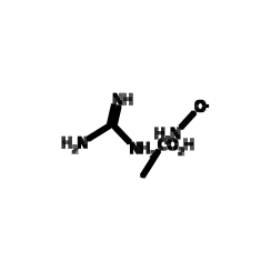 CC(=O)O.N=C(N)N.N[O]